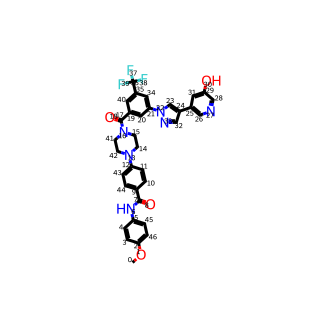 COc1ccc(NC(=O)c2ccc(N3CCN(C(=O)c4cc(-n5cc(-c6cncc(O)c6)cn5)cc(C(F)(F)F)c4)CC3)cc2)cc1